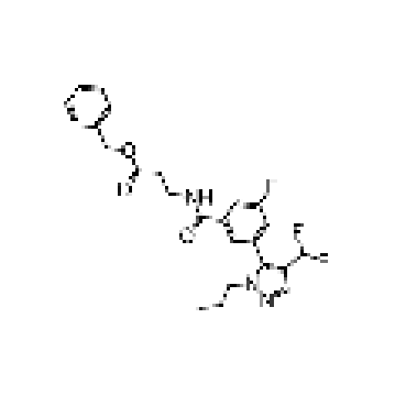 CCCn1ncc(C(F)F)c1-c1cc(F)cc(C(=O)NCCC(=O)OCc2ccccc2)c1